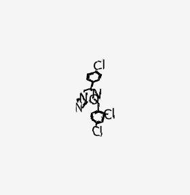 Clc1ccc(C(Cn2ccnc2)=NOCc2ccc(Cl)cc2Cl)cc1